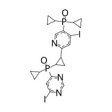 O=P(c1cnc(C2CC2P(=O)(c2cc(I)ncn2)C2CC2)cc1I)(C1CC1)C1CC1